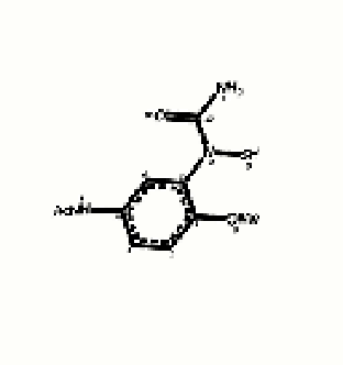 COc1ccc(NC(C)=O)cc1N(S)C(N)=O